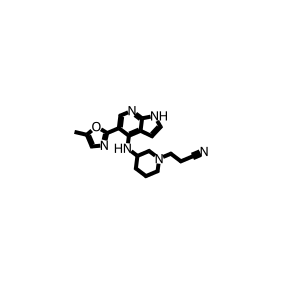 Cc1cnc(-c2cnc3[nH]ccc3c2NC2CCCN(CCC#N)C2)o1